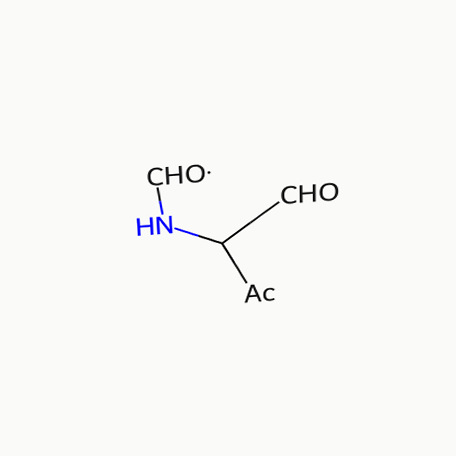 CC(=O)C(C=O)N[C]=O